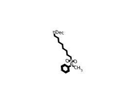 CCCCCCCCCCCCCCCCCCS(=O)(=O)N(C)c1cc[c]cc1